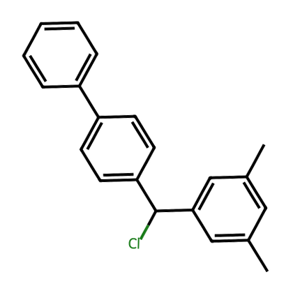 Cc1cc(C)cc(C(Cl)c2ccc(-c3ccccc3)cc2)c1